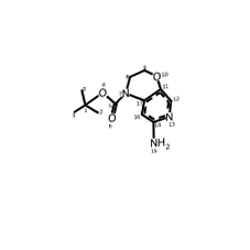 CC(C)(C)OC(=O)N1CCOc2cnc(N)cc21